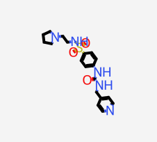 O=C(NCc1ccncc1)Nc1ccc(S(=O)(=O)NCCN2CCCC2)cc1